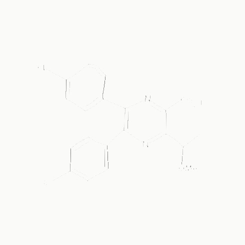 COC(C)c1nc(-c2ccc(Cl)cc2)c(-c2ccc(Cl)cc2)nc1C(=O)O